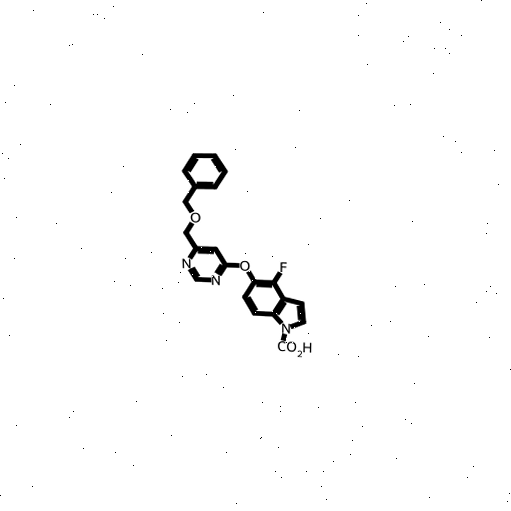 O=C(O)n1ccc2c(F)c(Oc3cc(COCc4ccccc4)ncn3)ccc21